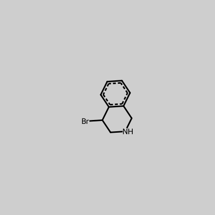 BrC1CNCc2ccccc21